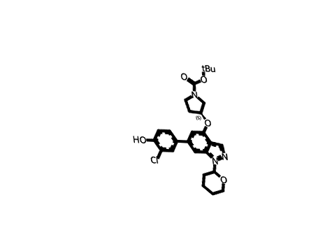 CC(C)(C)OC(=O)N1CC[C@H](Oc2cc(-c3ccc(O)c(Cl)c3)cc3c2cnn3C2CCCCO2)C1